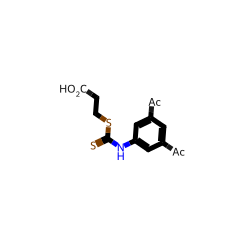 CC(=O)c1cc(NC(=S)SCCC(=O)O)cc(C(C)=O)c1